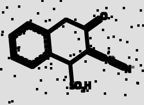 [N-]=[N+]=C1C(=O)Cc2ccccc2C1S(=O)(=O)O